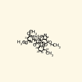 CCOC(=O)c1cn[nH]c1S(=O)(=O)N(C(=O)Nc1nc(OC)cc(OC)n1)c1cccc(CC)n1